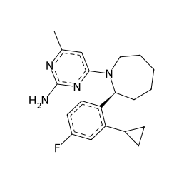 Cc1cc(N2CCCCC[C@H]2c2ccc(F)cc2C2CC2)nc(N)n1